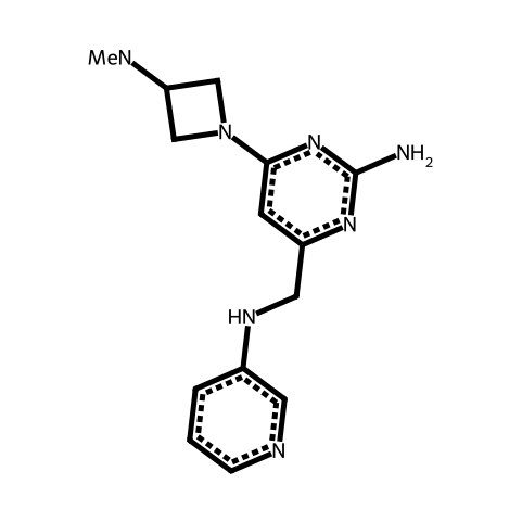 CNC1CN(c2cc(CNc3cccnc3)nc(N)n2)C1